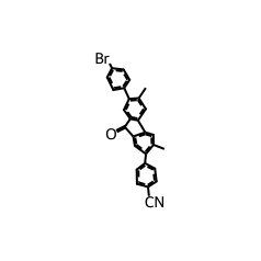 Cc1cc2c(cc1-c1ccc(Br)cc1)C(=O)c1cc(-c3ccc(C#N)cc3)c(C)cc1-2